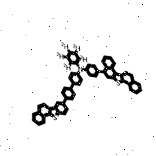 [2H]c1c([2H])c([2H])c(N(c2ccc(-c3ccc(-c4ccc5sc6c7ccccc7ccc6c5c4)cc3)cc2)c2ccc(-c3cc4sc5c6ccccc6ccc5c4c4ccccc34)cc2)c([2H])c1[2H]